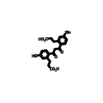 CC(C)(C)c1ccc(C(=O)CC(=O)c2ccc(O)cc2CCC(=O)O)c(CCC(=O)O)c1